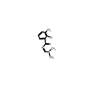 CN(C)/C=N\C(=O)c1cccc(C(F)(F)F)c1Cl